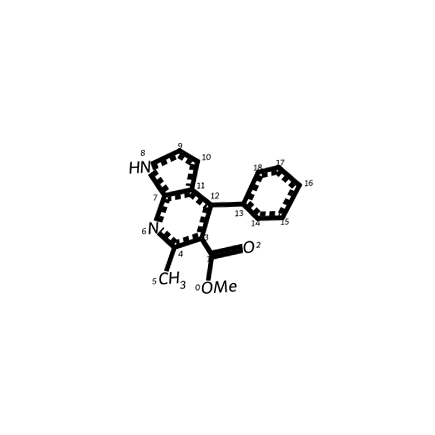 COC(=O)c1c(C)nc2[nH]ccc2c1-c1ccccc1